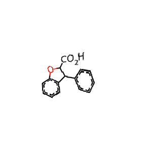 O=C(O)C1Oc2ccccc2C1c1ccccc1